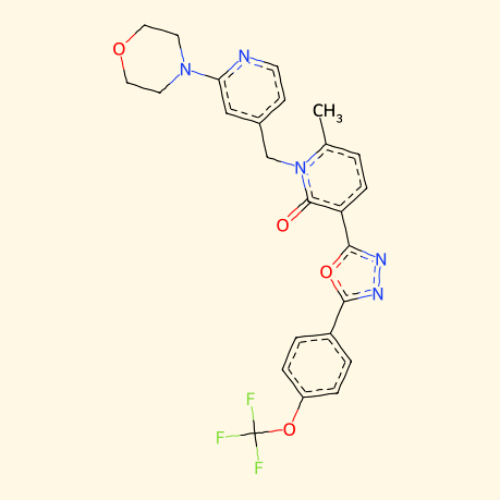 Cc1ccc(-c2nnc(-c3ccc(OC(F)(F)F)cc3)o2)c(=O)n1Cc1ccnc(N2CCOCC2)c1